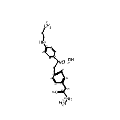 CCCNc1ccc(CCc2ccc(CC(=O)NN)cc2)cc1.Cl.Cl